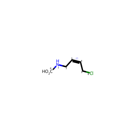 O=C(O)NC/C=C\CCl